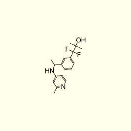 Cc1cc(NC(C)c2cccc(C(F)(F)C(C)(C)O)c2)ccn1